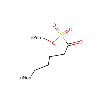 CCCCCCCCCCCCCC(=O)S(=O)(=O)OCCCCC